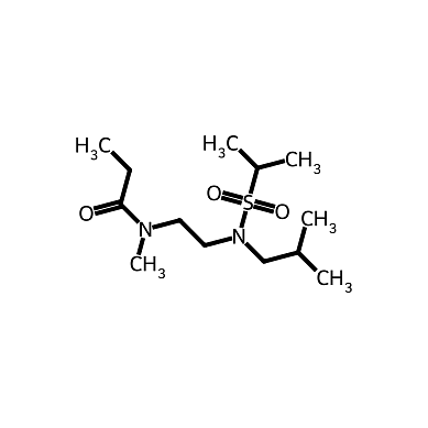 CCC(=O)N(C)CCN(CC(C)C)S(=O)(=O)C(C)C